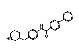 O=C(Nc1ccc(CC2CCCNC2)cc1)c1ccc(-c2ccccc2)cc1